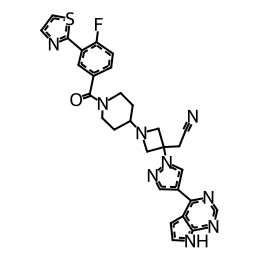 N#CCC1(n2cc(-c3ncnc4[nH]ccc34)cn2)CN(C2CCN(C(=O)c3ccc(F)c(-c4nccs4)c3)CC2)C1